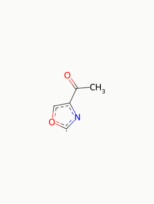 CC(=O)c1co[c]n1